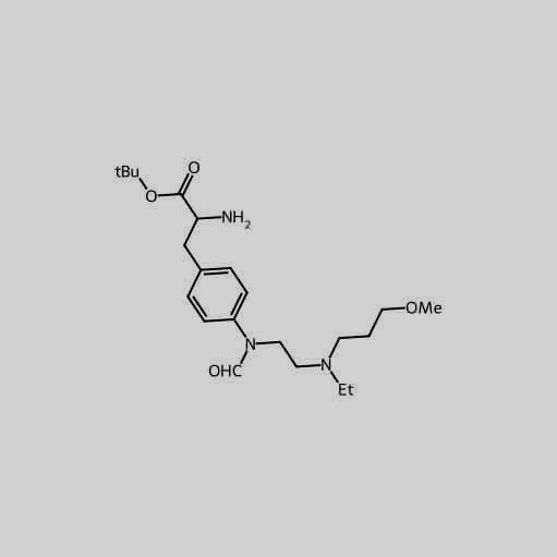 CCN(CCCOC)CCN(C=O)c1ccc(CC(N)C(=O)OC(C)(C)C)cc1